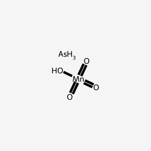 [AsH3].[O]=[Mn](=[O])(=[O])[OH]